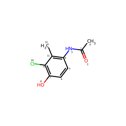 CC(=O)Nc1ccc(O)c(Cl)c1C